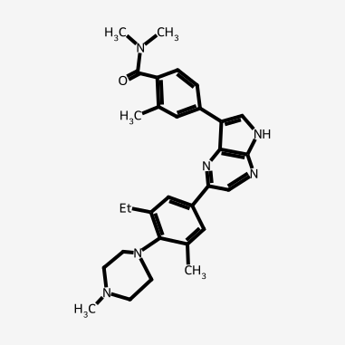 CCc1cc(-c2cnc3[nH]cc(-c4ccc(C(=O)N(C)C)c(C)c4)c3n2)cc(C)c1N1CCN(C)CC1